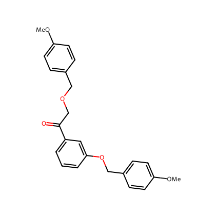 COc1ccc(COCC(=O)c2cccc(OCc3ccc(OC)cc3)c2)cc1